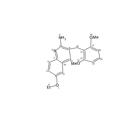 CCOc1ccc2nc(N)c(Cc3c(OC)cccc3OC)cc2c1